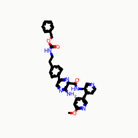 COc1ccc(-c2ccncc2NC(=O)c2nc(-c3ccc(CCNC(=O)OCc4ccccc4)cc3)cnc2N)cn1